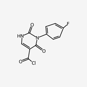 O=C(Cl)c1c[nH]c(=O)n(-c2ccc(F)cc2)c1=O